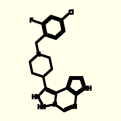 Fc1cc(Cl)ccc1CN1CCC(C2=C3c4cc[nH]c4N=CN3NN2)CC1